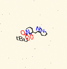 CC(C)(C)OC(=O)N1CCCC(Cc2ncn3c2CCCC3)C1=O